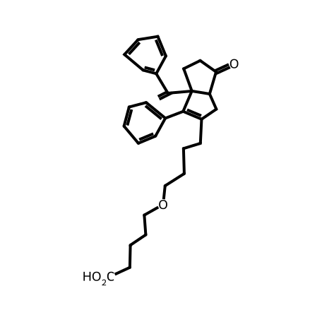 C=C(c1ccccc1)C12CCC(=O)C1CC(CCCCOCCCCC(=O)O)=C2c1ccccc1